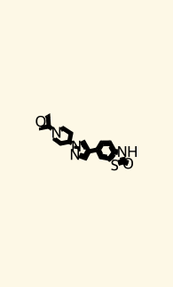 O=c1[nH]c2ccc(-c3cnn(C4CCN(C5COC5)CC4)c3)cc2s1